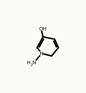 NN1C=C(O)C=CC1